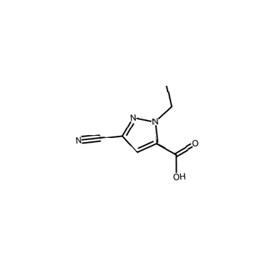 CCn1nc(C#N)cc1C(=O)O